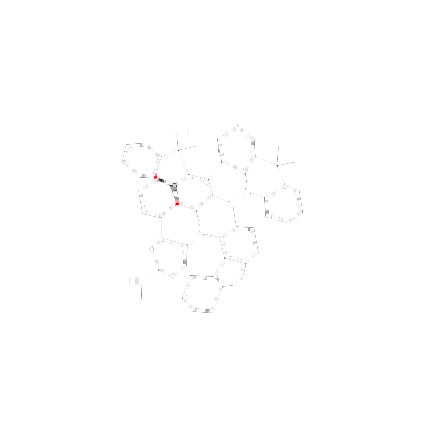 CBc1ccc(N2c3cc4c(c5c3B(c3ccc6sc7ccccc7c6c32)N2c3ccccc3C(C)(C)c3cccc-5c32)C(C)(C)c2ccccc2-4)c(-c2ccccc2)c1